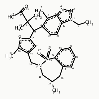 CCn1nnc2c(C)c(C(c3cc(CN4C[C@@H](C)Cc5ccccc5S4(=O)=O)c(C)s3)C(C)(C)C(=O)O)ccc21